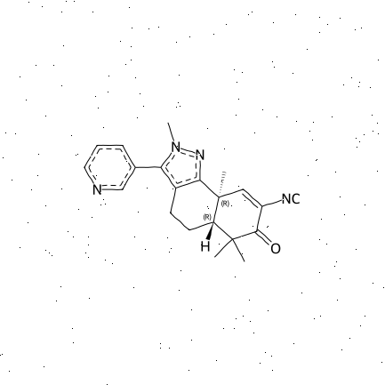 [C-]#[N+]C1=C[C@]2(C)c3nn(C)c(-c4cccnc4)c3CC[C@H]2C(C)(C)C1=O